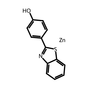 Oc1ccc(-c2nc3ccccc3s2)cc1.[Zn]